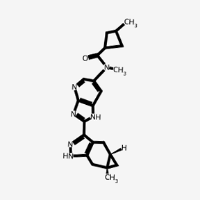 CC1CC(C(=O)N(C)c2cnc3nc(-c4n[nH]c5c4C[C@@H]4C[C@]4(C)C5)[nH]c3c2)C1